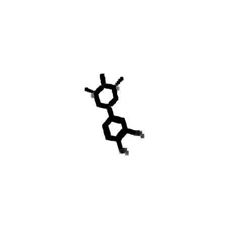 C[C@@H]1CN(c2ccc(N)c(N)c2)C[C@H](C)N1C